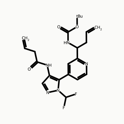 C=CCC(=O)Nc1cnn(C(F)F)c1-c1ccnc(C(CC=C)NC(=O)OC(C)(C)C)c1